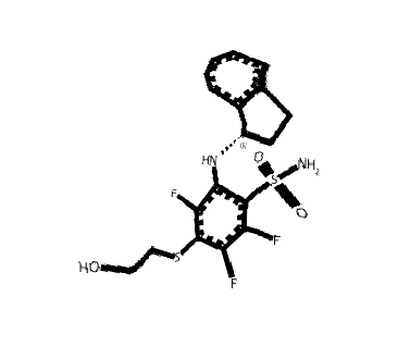 NS(=O)(=O)c1c(F)c(F)c(SCCO)c(F)c1N[C@H]1CCc2ccccc21